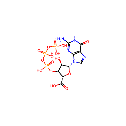 Nc1nc2c(ncn2[C@@H]2O[C@H](C(=O)O)[C@@H](OP(=O)(O)OP(=O)(O)OP(=O)(O)O)[C@H]2O)c(=O)[nH]1